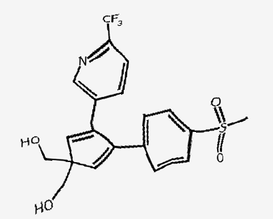 CS(=O)(=O)c1ccc(C2=CC(CO)(CO)C=C2c2ccc(C(F)(F)F)nc2)cc1